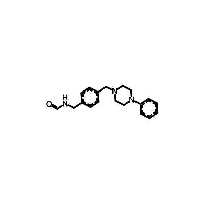 O=CNCc1ccc(CN2CCN(c3ccccc3)CC2)cc1